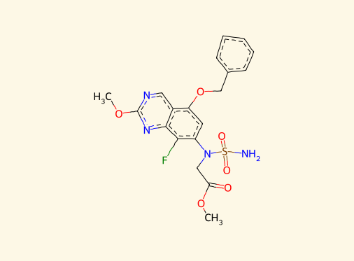 COC(=O)CN(c1cc(OCc2ccccc2)c2cnc(OC)nc2c1F)S(N)(=O)=O